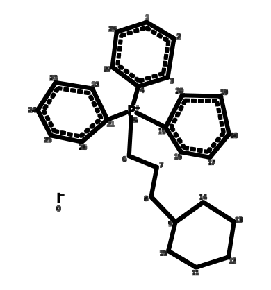 [I-].c1ccc([P+](CCCC2CCCCC2)(c2ccccc2)c2ccccc2)cc1